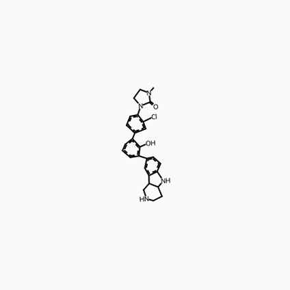 CN1CCN(c2ccc(-c3cccc(-c4ccc5c(c4)C4CNCCC4N5)c3O)cc2Cl)C1=O